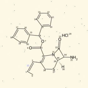 C/C=C\C1=C(C(=O)OC(c2ccccc2)c2ccccc2)N2C(=O)C(N)[C@H]2SC1.Cl